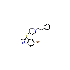 Cc1[nH]c2ccc(Br)cc2c1SC1CCN(CCc2ccccc2)CC1